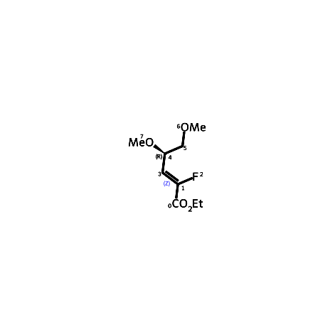 CCOC(=O)/C(F)=C/[C@H](COC)OC